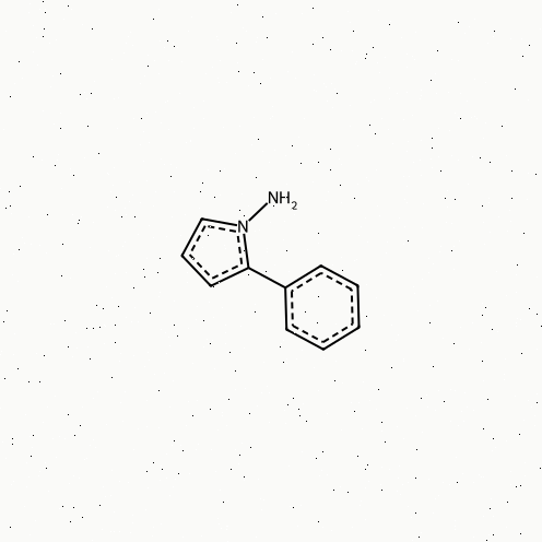 Nn1cccc1-c1ccccc1